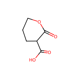 O=C(O)C1CCCOC1=O